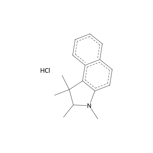 CC1N(C)c2ccc3ccccc3c2C1(C)C.Cl